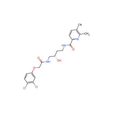 Cc1nc(C(=O)NCC[C@H](O)CNC(=O)COc2ccc(Cl)c(Cl)c2)ccc1C#N